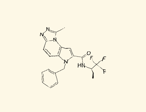 Cc1nnc2ccc3c(cc(C(=O)N[C@H](C)C(F)(F)F)n3Cc3ccccc3)n12